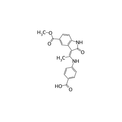 COC(=O)c1ccc2c(c1)/C(=C(\C)Nc1ccc(C(=O)O)cc1)C(=O)N2